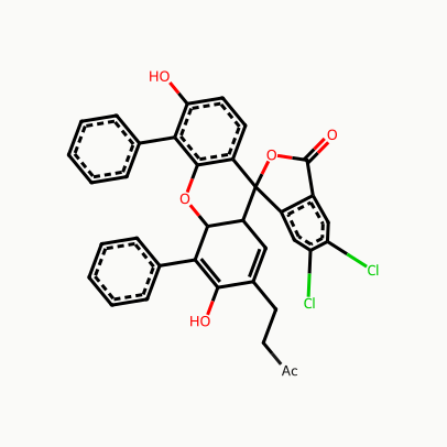 CC(=O)CCC1=CC2C(Oc3c(ccc(O)c3-c3ccccc3)C23OC(=O)c2cc(Cl)c(Cl)cc23)C(c2ccccc2)=C1O